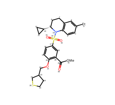 CCc1ccc2c(c1)CC[C@@H](C1CC1)N2S(=O)(=O)c1ccc(OCC2CCSC2)c(C(=O)OC)c1